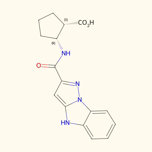 O=C(N[C@@H]1CCC[C@@H]1C(=O)O)c1cc2[nH]c3ccccc3n2n1